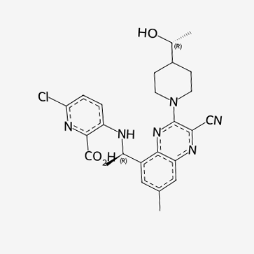 Cc1cc([C@@H](C)Nc2ccc(Cl)nc2C(=O)O)c2nc(N3CCC([C@@H](C)O)CC3)c(C#N)nc2c1